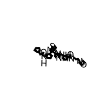 O=C(Cc1ccccc1)Nc1cccc(-c2nc3sccn3c2-c2ccnc(Nc3cccc(C(=O)NCCCN4CCOCC4)c3)n2)c1